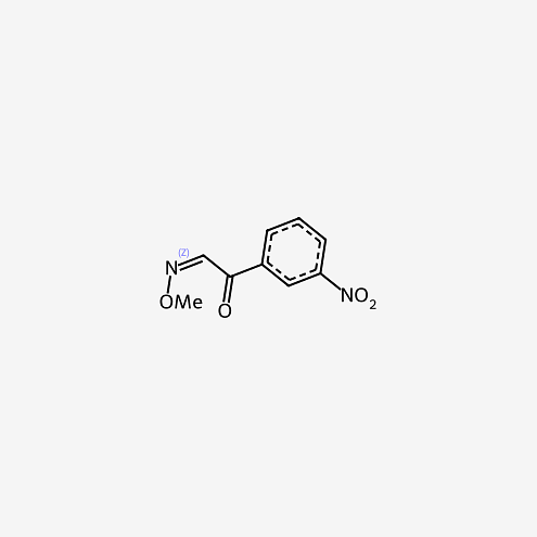 CO/N=C\C(=O)c1cccc([N+](=O)[O-])c1